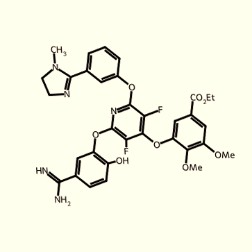 CCOC(=O)c1cc(OC)c(OC)c(Oc2c(F)c(Oc3cccc(C4=NCCN4C)c3)nc(Oc3cc(C(=N)N)ccc3O)c2F)c1